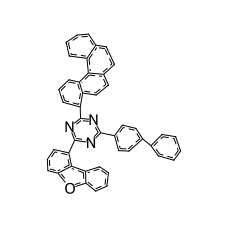 c1ccc(-c2ccc(-c3nc(-c4cccc5c4ccc4ccc6ccccc6c45)nc(-c4cccc5oc6ccccc6c45)n3)cc2)cc1